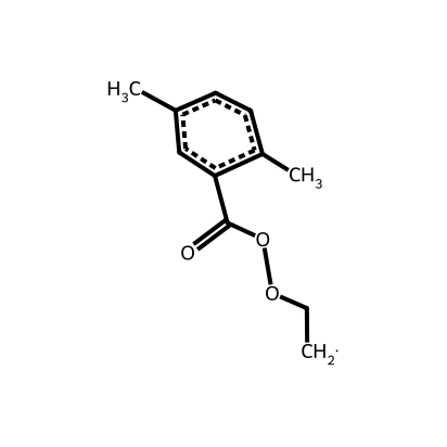 [CH2]COOC(=O)c1cc(C)ccc1C